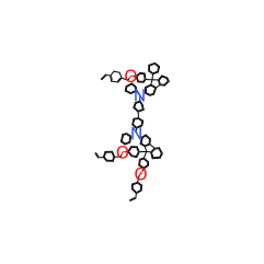 C=CC1=CC=C(COc2ccc(C3(c4ccccc4)c4ccccc4-c4ccc(N(c5ccccc5)c5ccc(-c6ccc(N(c7ccccc7)c7ccc8c(c7)C(c7ccc(OCc9ccc(C=C)cc9)cc7)(c7ccc(OCc9ccc(C=C)cc9)cc7)c7ccccc7-8)cc6)cc5)cc43)cc2)CC1